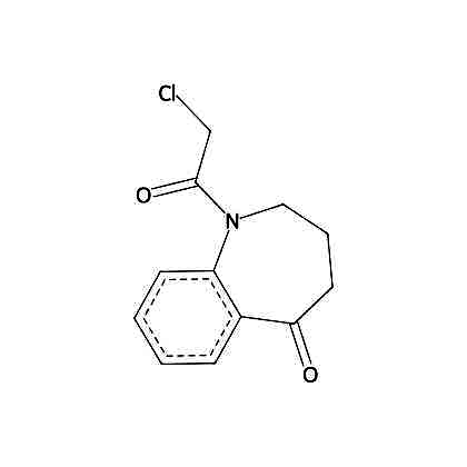 O=C1CCCN(C(=O)CCl)c2ccccc21